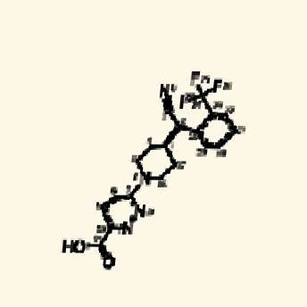 N#CC(=C1CCN(c2ccc(C(=O)O)nn2)CC1)c1ccccc1C(F)(F)F